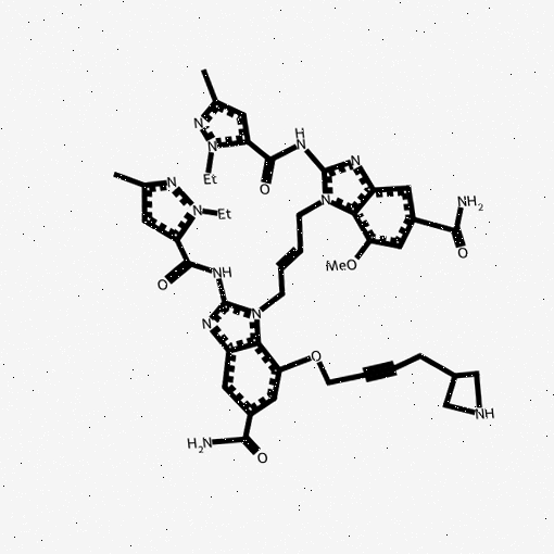 CCn1nc(C)cc1C(=O)Nc1nc2cc(C(N)=O)cc(OC)c2n1C/C=C/Cn1c(NC(=O)c2cc(C)nn2CC)nc2cc(C(N)=O)cc(OCC#CCC3CNC3)c21